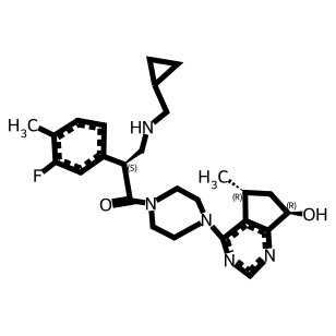 Cc1ccc([C@@H](CNCC2CC2)C(=O)N2CCN(c3ncnc4c3[C@H](C)C[C@H]4O)CC2)cc1F